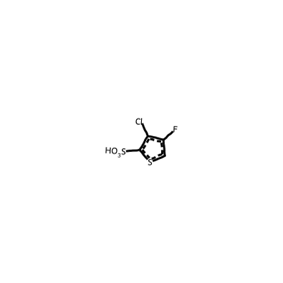 O=S(=O)(O)c1scc(F)c1Cl